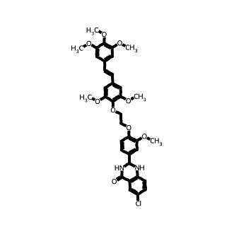 COc1cc(C2NC(=O)c3cc(Cl)ccc3N2)ccc1OCCOc1c(OC)cc(/C=C/c2cc(OC)c(OC)c(OC)c2)cc1OC